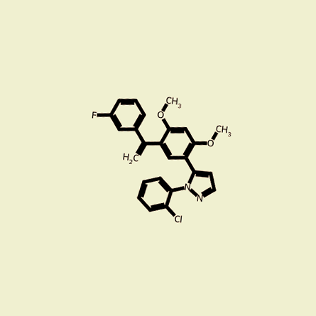 C=C(c1cccc(F)c1)c1cc(-c2ccnn2-c2ccccc2Cl)c(OC)cc1OC